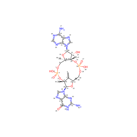 C=C1[C@H]2OP(=O)(O)OC[C@H]3O[C@@H](n4cnc5c(N)ncnc54)[C@H](O)[C@@H]3OP(=O)(O)OC[C@H]1O[C@H]2n1cnc2c(=O)[nH]c(N)nc21